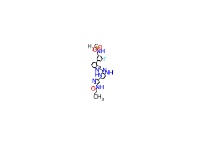 CCCC(=O)Nc1cncc(-c2ccc3[nH]nc(-c4cc5c(-c6cc(F)cc(CNS(C)(=O)=O)c6)cccc5[nH]4)c3n2)c1